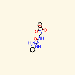 N/C(=N\C(=O)NCCN1C(=O)C2C3C=CC(O3)C2C1=O)Nc1ccccc1